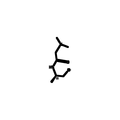 C[C@H](C[O])NC(=O)CN(C)C